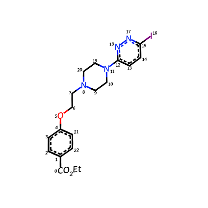 CCOC(=O)c1ccc(OCCN2CCN(c3ccc(I)nn3)CC2)cc1